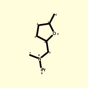 CC1CCC(CN(C)C(C)C)O1